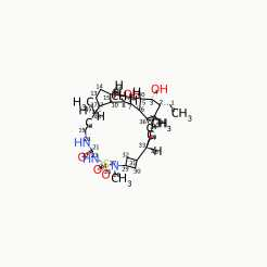 CC[C@H]1[C@@H](O)[C@@H]2[C@@H]3C[C@@H](O)[C@]4(C)[C@H](CC[C@@H]24)[C@H](C)CCNC(=O)NS(=O)(=O)N(C)C2CC(C2)[C@@H]2CC[C@@]3(C)[C@H]1C2